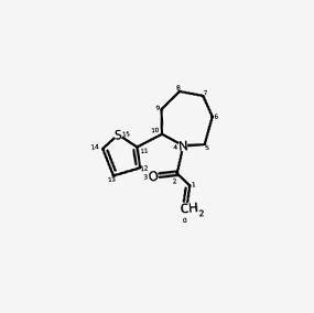 C=CC(=O)N1CCCCCC1c1cccs1